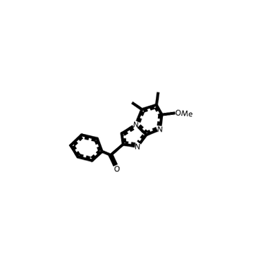 COc1nc2nc(C(=O)c3ccccc3)cn2c(C)c1C